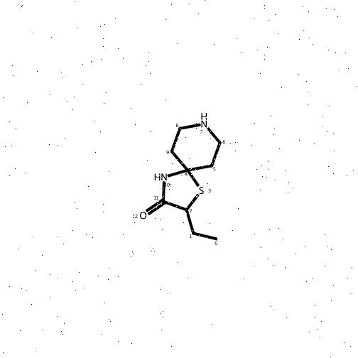 CCC1SC2(CCNCC2)NC1=O